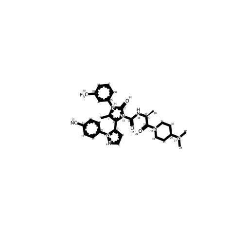 Cc1c(-c2ccnn2-c2ccc(C#N)cc2)n(C(=O)N[C@@H](C)C(=O)N2CCC(N(C)C)CC2)c(=O)n1-c1cccc(C(F)(F)F)c1